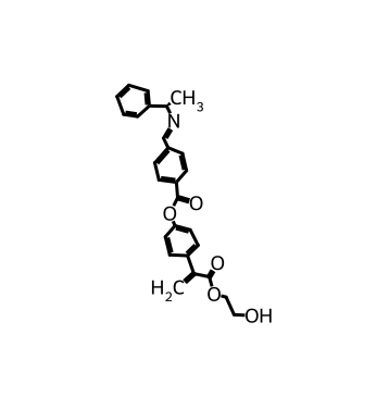 C=C(C(=O)OCCO)c1ccc(OC(=O)c2ccc(C=N[C@H](C)c3ccccc3)cc2)cc1